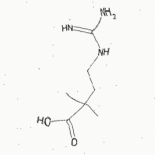 CC(C)(CCNC(=N)N)C(=O)O